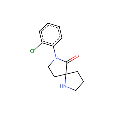 O=C1N(c2ccccc2Cl)CCC12CCCN2